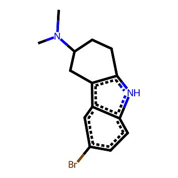 CN(C)C1CCc2[nH]c3ccc(Br)cc3c2C1